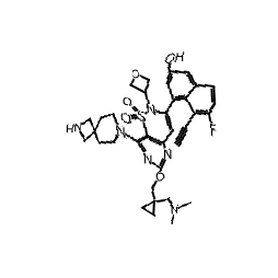 C#Cc1c(F)ccc2cc(O)cc(C3=Cc4nc(OCC5(CN(C)C)CC5)nc(N5CCC6(CC5)CNC6)c4S(=O)(=O)N3C3COC3)c12